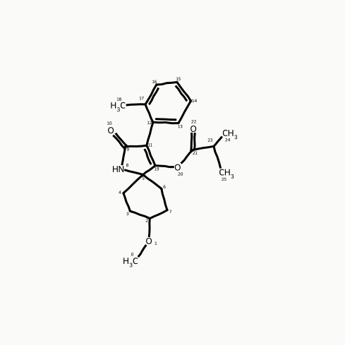 COC1CCC2(CC1)NC(=O)C(c1ccccc1C)=C2OC(=O)C(C)C